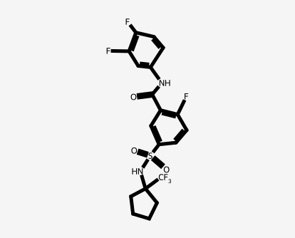 O=C(Nc1ccc(F)c(F)c1)c1cc(S(=O)(=O)NC2(C(F)(F)F)CCCC2)ccc1F